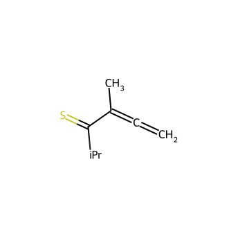 C=C=C(C)C(=S)C(C)C